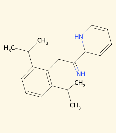 CC(C)c1cccc(C(C)C)c1CC(=N)C1C=CC=[C]N1